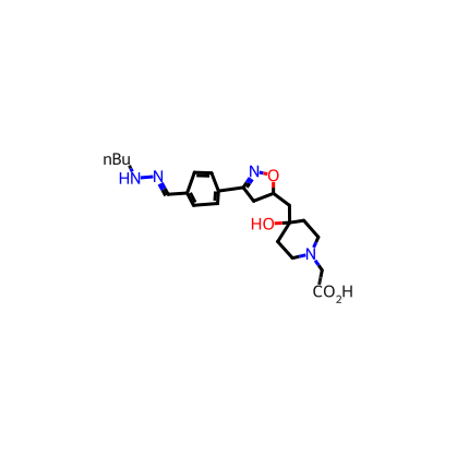 CCCCNN=Cc1ccc(C2=NOC(CC3(O)CCN(CC(=O)O)CC3)C2)cc1